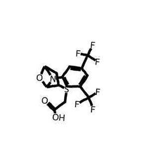 O=C(O)CSC1CC2OC1N2c1cc(C(F)(F)F)cc(C(F)(F)F)c1